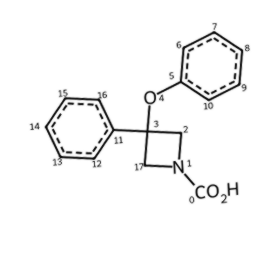 O=C(O)N1CC(Oc2ccccc2)(c2ccccc2)C1